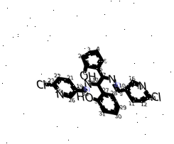 Oc1ccccc1C(/N=C/c1ccc(Cl)nc1)C(/N=C/c1ccc(Cl)nc1)c1ccccc1O